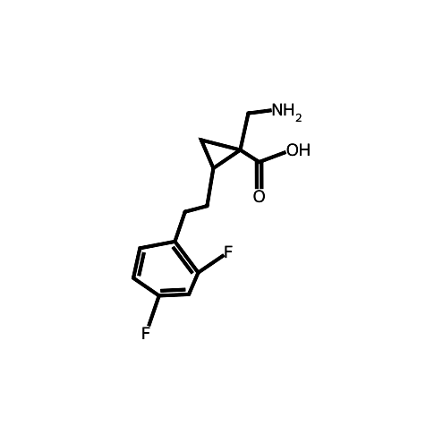 NCC1(C(=O)O)CC1CCc1ccc(F)cc1F